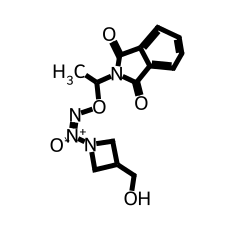 CC(O/N=[N+](/[O-])N1CC(CO)C1)N1C(=O)c2ccccc2C1=O